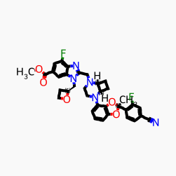 COC(=O)c1cc(F)c2nc(CN3CCN(c4cccc5c4O[C@](C)(c4ccc(C#N)cc4F)O5)[C@H]4CC[C@H]43)n(C[C@@H]3CCO3)c2c1